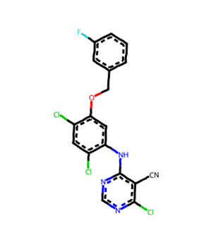 N#Cc1c(Cl)ncnc1Nc1cc(OCc2cccc(F)c2)c(Cl)cc1Cl